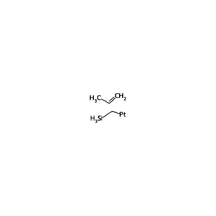 C=CC.[SiH3][CH2][Pt]